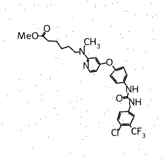 COC(=O)CCCCCN(C)c1cc(Oc2ccc(NC(=O)Nc3ccc(Cl)c(C(F)(F)F)c3)cc2)ccn1